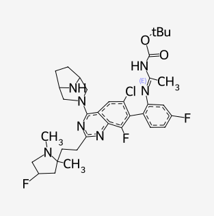 C/C(=N\c1cc(F)ccc1-c1c(Cl)cc2c(N3CC4CCC(C3)N4)nc(CCC3(C)CC(F)CN3C)nc2c1F)NC(=O)OC(C)(C)C